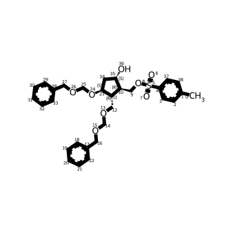 Cc1ccc(S(=O)(=O)OC[C@H]2[C@H](COCOCc3ccccc3)[C@@H](OCOCc3ccccc3)C[C@@H]2O)cc1